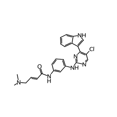 CN(C)C/C=C/C(=O)Nc1cccc(Nc2ncc(Cl)c(-c3c[nH]c4ccccc34)n2)c1